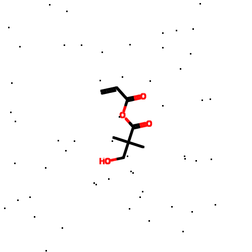 C=CC(=O)OC(=O)C(C)(C)CO